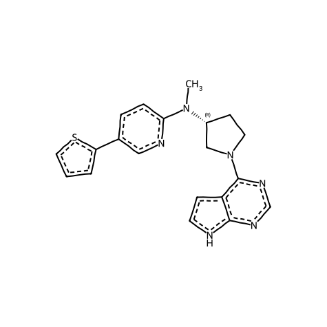 CN(c1ccc(-c2cccs2)cn1)[C@@H]1CCN(c2ncnc3[nH]ccc23)C1